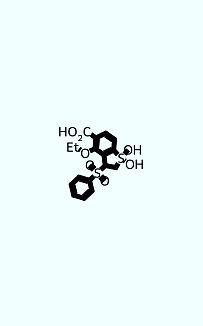 CCOc1c(C(=O)O)ccc2c1C(S(=O)(=O)c1ccccc1)CS2(O)O